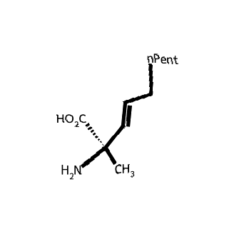 CCCCCCC=C[C@@](C)(N)C(=O)O